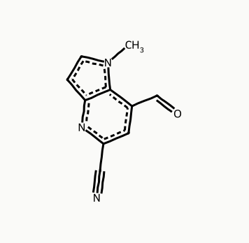 Cn1ccc2nc(C#N)cc(C=O)c21